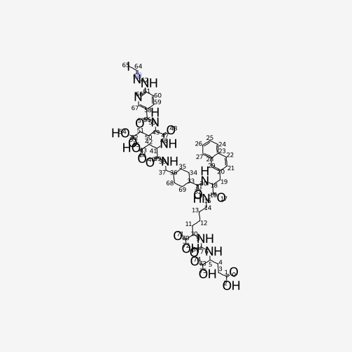 O=C(O)CCC(NC(=O)NC(CCCCNC(=O)C(Cc1ccc2ccccc2c1)NC(=O)C1CCC(CNC(=O)C(CC(=O)O)NC(=O)C(CCC(=O)O)NC(=O)c2ccc(N/N=C/I)nc2)CC1)C(=O)O)C(=O)O